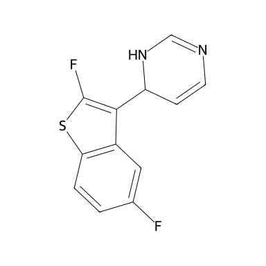 Fc1ccc2sc(F)c(C3C=CN=CN3)c2c1